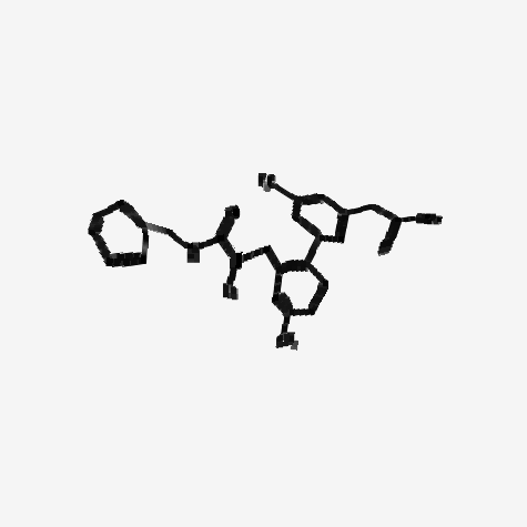 CCN(Cc1cc(C)ccc1-c1cc(CC(=O)OC)cc(C(F)(F)F)c1)C(=O)NCc1ccccc1